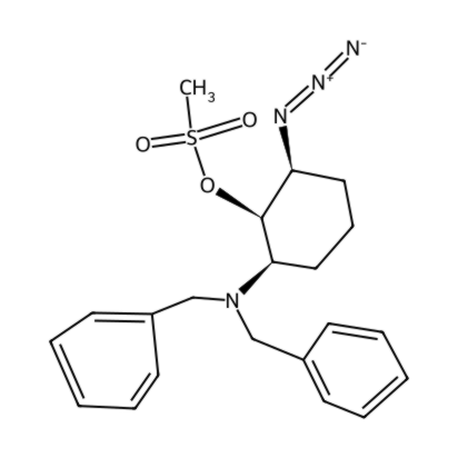 CS(=O)(=O)O[C@H]1[C@@H](N=[N+]=[N-])CCC[C@H]1N(Cc1ccccc1)Cc1ccccc1